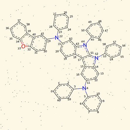 c1ccc(N(c2ccccc2)c2ccc3c(c2)c2c4ccc(N(c5ccccc5)c5ccc6oc7ccccc7c6c5)cc4n(-c4ccccc4)c2n3-c2ccccc2)cc1